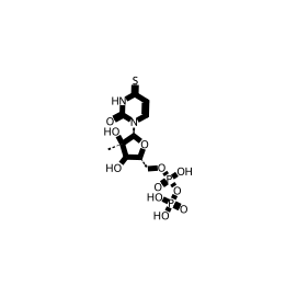 C[C@@]1(O)C(O)[C@@H](COP(=O)(O)OP(=O)(O)O)O[C@H]1n1ccc(=S)[nH]c1=O